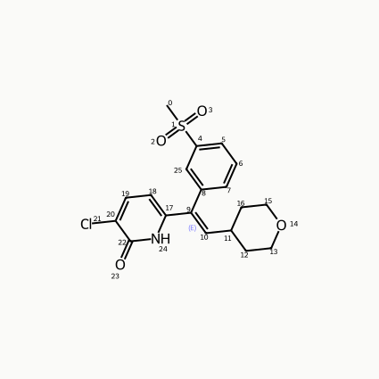 CS(=O)(=O)c1cccc(/C(=C\C2CCOCC2)c2ccc(Cl)c(=O)[nH]2)c1